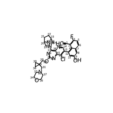 C#Cc1c(F)ccc2cc(O)cc(-c3cnc4c(N5CC6CCC(C5)N6)nc(OCC5(CN6CCOCC6)CC5)nc4c3Cl)c12